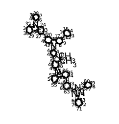 CC1(C)c2cc(-n3c4ccc(-c5ccccc5)cc4c4cc(-c5ccc6c(c5)c5ccccc5n6-c5ccccc5)ccc43)ccc2-c2ccc(-n3c4ccccc4c4c(-c5cccc(-c6nc(-c7ccccc7)nc(-c7ccccc7)n6)c5)cccc43)cc21